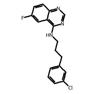 Fc1ccc2ncnc(NCCCc3cccc(Cl)c3)c2c1